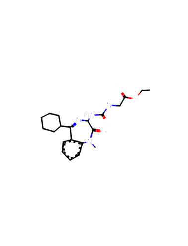 CCOC(=O)CNC(=O)NC1N=C(C2CCCCC2)c2ccccc2N(C)C1=O